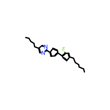 CCCCCCc1ccc(-c2ccc(-c3ncc(CCCCC)cn3)cc2)c(F)c1